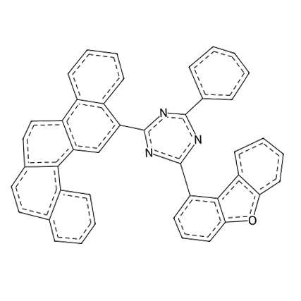 c1ccc(-c2nc(-c3cc4c(ccc5ccc6ccccc6c54)c4ccccc34)nc(-c3cccc4oc5ccccc5c34)n2)cc1